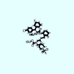 CC(C)(C)OC(=O)N1C[C@@H](CCc2c(F)cccc2NC(=O)C(N=[N+]=[N-])[C@@H](c2ccc(Cl)cc2)c2cc(F)cc(F)c2)OC2(CCN(S(C)(=O)=O)CC2)C1